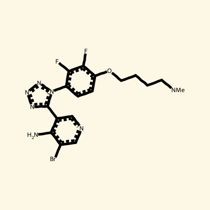 CNCCCCOc1ccc(-n2nnnc2-c2cncc(Br)c2N)c(F)c1F